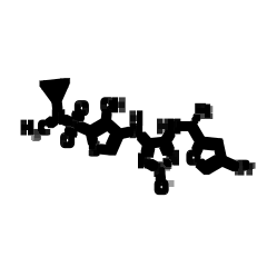 CC[C@@H](Nc1n[s+]([O-])nc1Nc1csc(S(=O)(=O)N(C)C2CC2)c1O)c1cc(C(C)C)co1